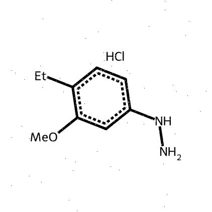 CCc1ccc(NN)cc1OC.Cl